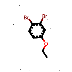 CCOc1ccc(Br)c(Br)c1